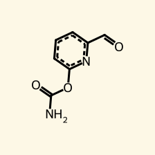 NC(=O)Oc1cccc(C=O)n1